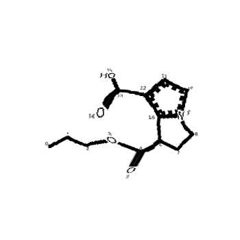 CCCOC(=O)C1CCn2ccc(C(=O)O)c21